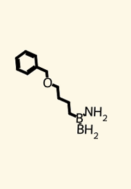 BB(N)CCCCOCc1ccccc1